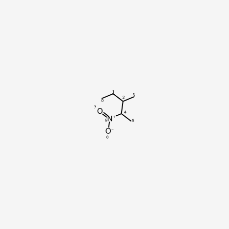 CCC(C)C(C)[N+](=O)[O-]